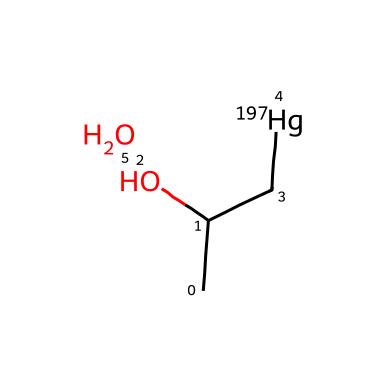 CC(O)[CH2][197Hg].O